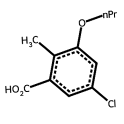 CCCOc1cc(Cl)cc(C(=O)O)c1C